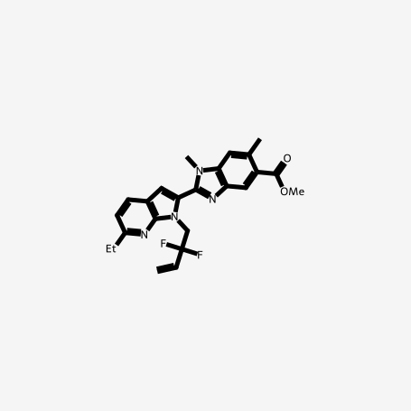 C=CC(F)(F)Cn1c(-c2nc3cc(C(=O)OC)c(C)cc3n2C)cc2ccc(CC)nc21